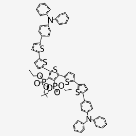 CCOP(=O)(OCC)c1c(-c2ccc(-c3ccc(-c4ccc(N(c5ccccc5)c5ccccc5)cc4)s3)s2)sc(-c2ccc(-c3ccc(-c4ccc(N(c5ccccc5)c5ccccc5)cc4)s3)s2)c1P(=O)(OCC)OCC